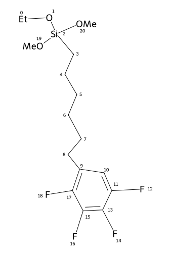 CCO[Si](CCCCCCc1cc(F)c(F)c(F)c1F)(OC)OC